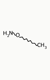 CCCCCCCCCCOCCN